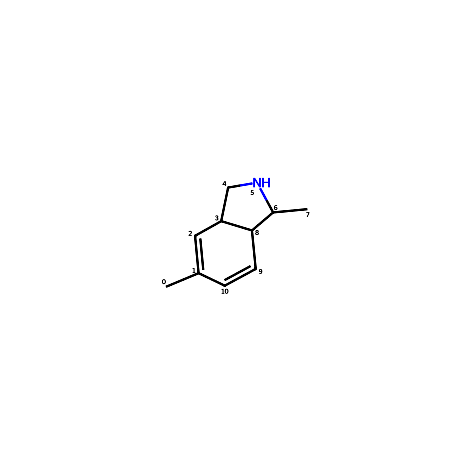 CC1=CC2CNC(C)C2C=C1